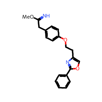 COC(=N)Cc1ccc(OCCc2coc(-c3ccccc3)n2)cc1